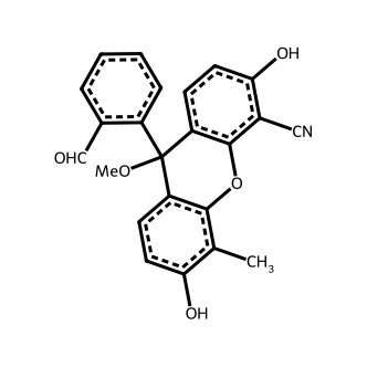 COC1(c2ccccc2C=O)c2ccc(O)c(C)c2Oc2c1ccc(O)c2C#N